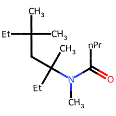 CCCC(=O)N(C)C(C)(CC)CC(C)(C)CC